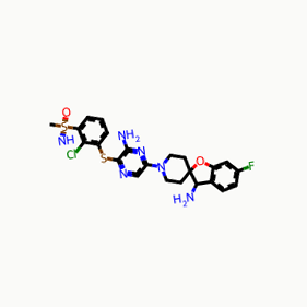 CS(=N)(=O)c1cccc(Sc2ncc(N3CCC4(CC3)Oc3cc(F)ccc3C4N)nc2N)c1Cl